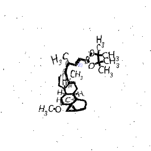 CO[C@@H]1C[C@H]2[C@@H]3CC[C@H]([C@H](C)/C=C/B4OC(C)(C)C(C)(C)O4)[C@@]3(C)CC[C@@H]2[C@@]2(C)CCC3CC312